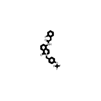 O=C(Cc1ccccc1F)Nc1cccc2c(=O)n(Cc3ccc(OC(F)(F)F)cc3)ccc12